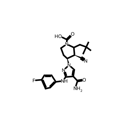 CC(C)(C)CC1[C@@H](C#N)[C@@H](n2cc(C(N)=O)c(Nc3ccc(F)cc3)n2)CCN1C(=O)O